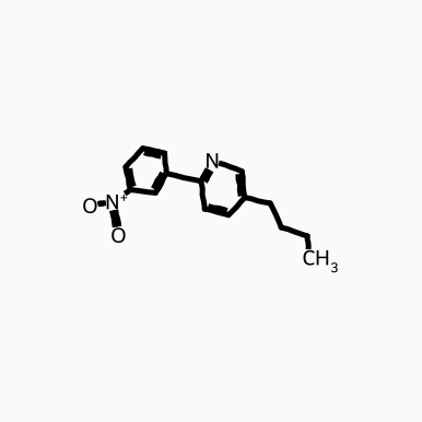 CCCCc1ccc(-c2cccc([N+](=O)[O-])c2)nc1